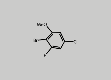 COc1cc(Cl)cc(F)c1Br